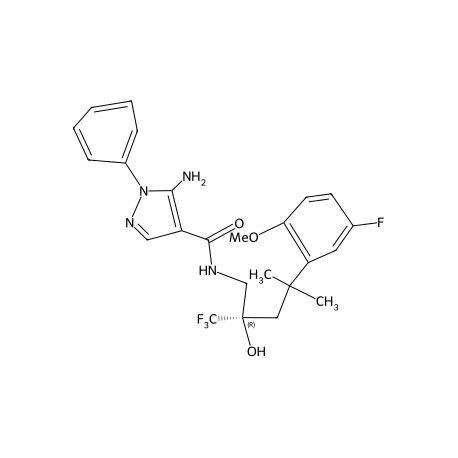 COc1ccc(F)cc1C(C)(C)C[C@@](O)(CNC(=O)c1cnn(-c2ccccc2)c1N)C(F)(F)F